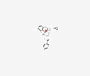 O=C(N[C@@H]1CC[C@@]2(O)[C@H]3Cc4ccc(O)c5c4[C@@]2(CC[N+]3([O-])CC2CC2)[C@H]1O5)c1ccc(Br)cc1